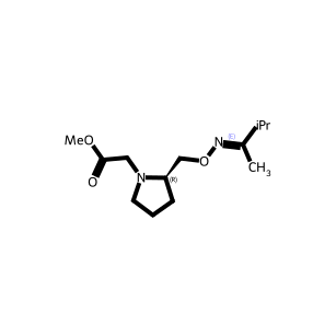 COC(=O)CN1CCC[C@@H]1CO/N=C(\C)C(C)C